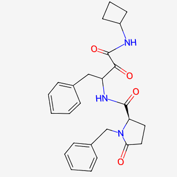 O=C(NC1CCC1)C(=O)C(Cc1ccccc1)NC(=O)[C@H]1CCC(=O)N1Cc1ccccc1